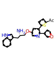 CC(=O)c1ccc(-c2cc(OC[C@@H](N)Cc3c[nH]c4ccccc34)cnc2-c2ccoc2)s1